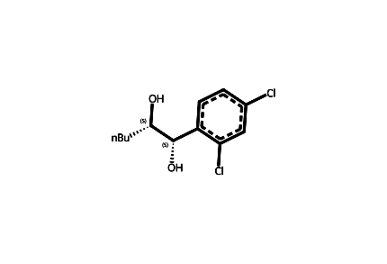 CCCC[C@H](O)[C@@H](O)c1ccc(Cl)cc1Cl